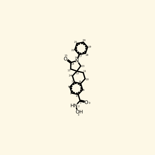 O=C(NO)c1ccc2c(c1)CCC1(CC(=O)N(c3ccccc3)C1)C2